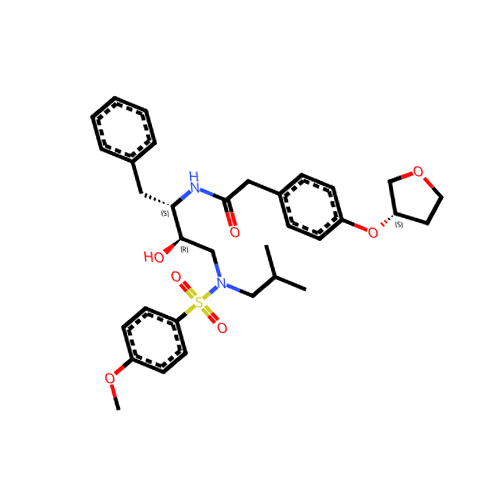 COc1ccc(S(=O)(=O)N(CC(C)C)C[C@@H](O)[C@H](Cc2ccccc2)NC(=O)Cc2ccc(O[C@H]3CCOC3)cc2)cc1